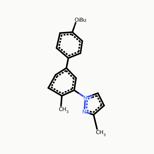 Cc1ccn(-c2cc(-c3ccc(OCC(C)C)cc3)ccc2C)n1